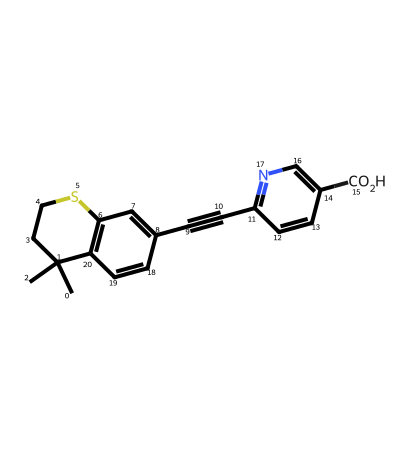 CC1(C)CCSc2cc(C#Cc3ccc(C(=O)O)cn3)ccc21